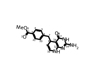 COC(=O)c1ccc(CC2C=CNc3nc(N)[nH]c(=O)c32)cc1